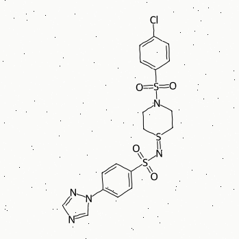 O=S(=O)(N=S1CCN(S(=O)(=O)c2ccc(Cl)cc2)CC1)c1ccc(-n2cncn2)cc1